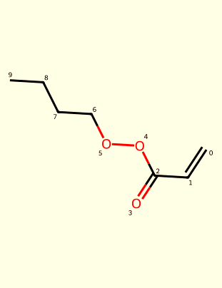 C=CC(=O)OOCCCC